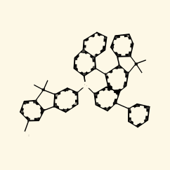 CC(C)(C)c1ccc2c(c1)-c1ccc(N(c3ccc(-c4ccccc4)cc3)c3ccc4ccccc4c3-c3cccc4c3-c3ccccc3C4(C)C)cc1C2(C)C